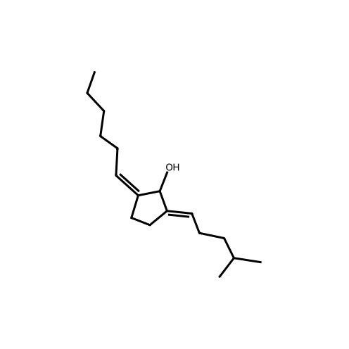 CCCCCC=C1CCC(=CCCC(C)C)C1O